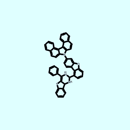 c1ccc(C2=C3Sc4ccccc4C3NC(c3cccc4oc5cc(-n6c7ccc8ccccc8c7c7c8ccccc8ccc76)ccc5c34)N2)cc1